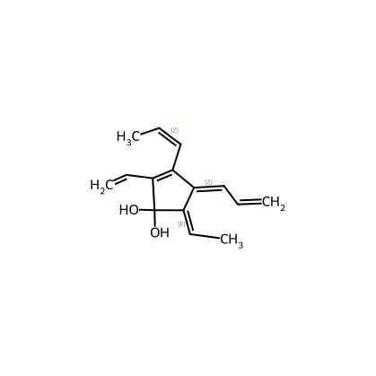 C=C/C=C1/C(/C=C\C)=C(C=C)C(O)(O)/C1=C/C